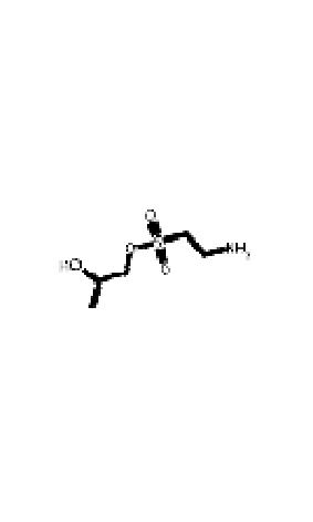 CC(O)COS(=O)(=O)CCN